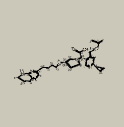 CC(C)OCc1cc(C2CC2)ncc1[C@H](C(=O)O)N1CC[C@@H](OCCCCc2ccc3c(n2)NCCC3)C1